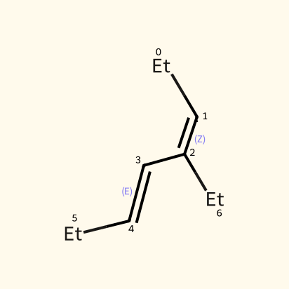 CC/[C]=C(\C=C\CC)CC